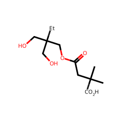 CCC(CO)(CO)COC(=O)CC(C)(C)C(=O)O